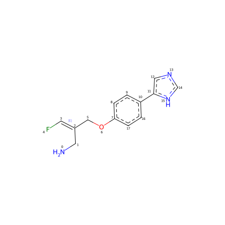 NC/C(=C\F)COc1ccc(-c2cnc[nH]2)cc1